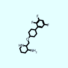 NC1CCCNC1COC1CCC(c2cc(F)cc(F)c2F)CC1